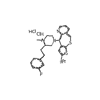 CCCc1cc2c(s1)SC=c1cccnc1=C2N1CCN(C)C(CCc2cccc(F)c2)C1.Cl.Cl